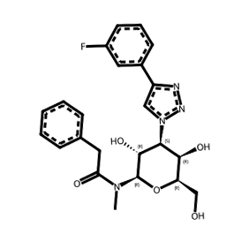 CN(C(=O)Cc1ccccc1)[C@@H]1O[C@H](CO)[C@H](O)[C@H](n2cc(-c3cccc(F)c3)nn2)[C@H]1O